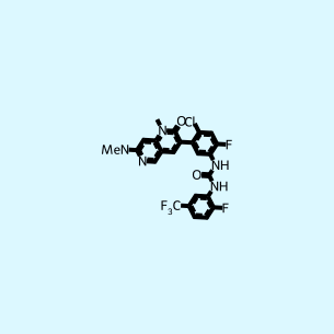 CNc1cc2c(cn1)cc(-c1cc(NC(=O)Nc3cc(C(F)(F)F)ccc3F)c(F)cc1Cl)c(=O)n2C